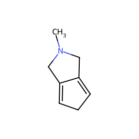 CN1CC2=CCC=C2C1